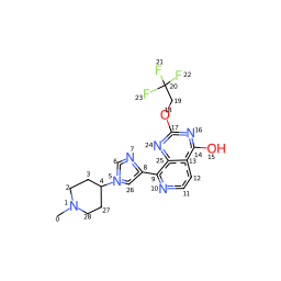 CN1CCC(n2cnc(-c3nccc4c(O)nc(OCC(F)(F)F)nc34)c2)CC1